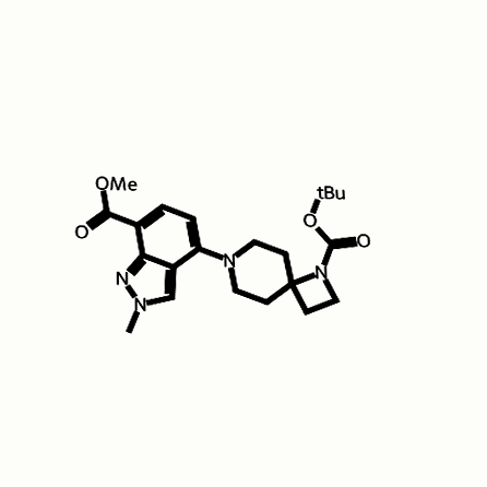 COC(=O)c1ccc(N2CCC3(CC2)CCN3C(=O)OC(C)(C)C)c2cn(C)nc12